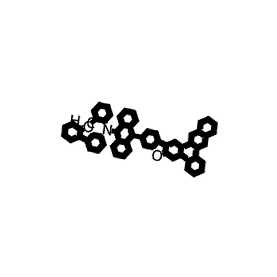 Cc1ccccc1N(c1c2ccccc2c(-c2ccc3c(c2)oc2cc4c5ccccc5c5cc6ccccc6cc5c4cc23)c2ccccc12)c1cccc2c1oc1ccccc12